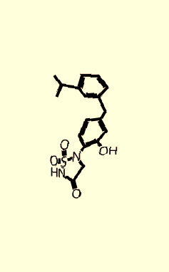 CC(C)c1cccc(Cc2ccc(N3CC(=O)NS3(=O)=O)c(O)c2)c1